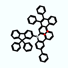 c1ccc(-c2ccc(N(c3ccc4c(c3)C(c3ccccc3)(c3ccccc3)c3ccccc3-4)c3ccc4c(c3)c(-c3ccccc3)c(-c3ccccc3)c3ccccc34)c(-c3ccccc3)c2)cc1